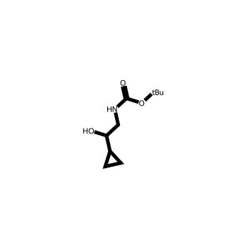 CC(C)(C)OC(=O)NCC(O)C1CC1